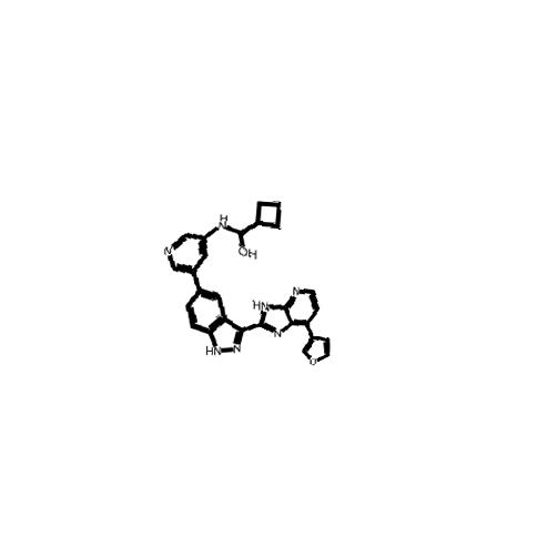 OC(Nc1cncc(-c2ccc3[nH]nc(-c4nc5c(-c6ccoc6)ccnc5[nH]4)c3c2)c1)C1CCC1